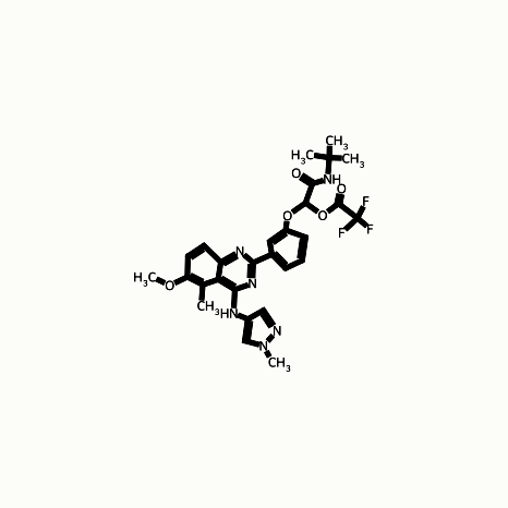 COc1ccc2nc(-c3cccc(OC(OC(=O)C(F)(F)F)C(=O)NC(C)(C)C)c3)nc(Nc3cnn(C)c3)c2c1C